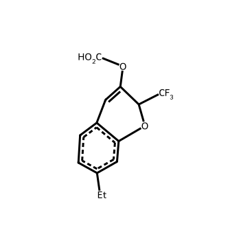 CCc1ccc2c(c1)OC(C(F)(F)F)C(OC(=O)O)=C2